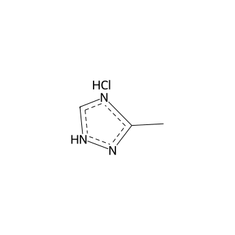 Cc1nc[nH]n1.Cl